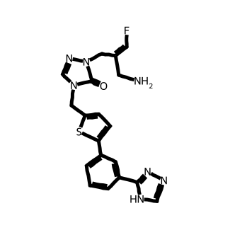 NC/C(=C/F)Cn1ncn(Cc2ccc(-c3cccc(-c4nnc[nH]4)c3)s2)c1=O